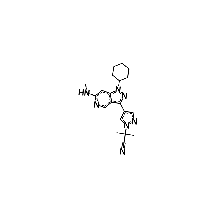 CNc1cc2c(cn1)c(-c1cnn(C(C)(C)C#N)c1)nn2C1CCCCC1